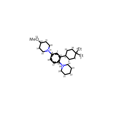 CCC1(CC)CCC(c2cc(N3CCC(OC)CC3)ccc2N2CCCCC2)CC1